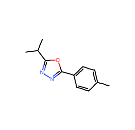 Cc1ccc(-c2nnc(C(C)C)o2)cc1